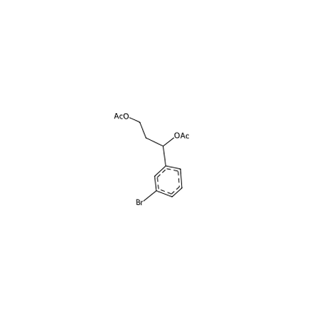 CC(=O)OCCC(OC(C)=O)c1cccc(Br)c1